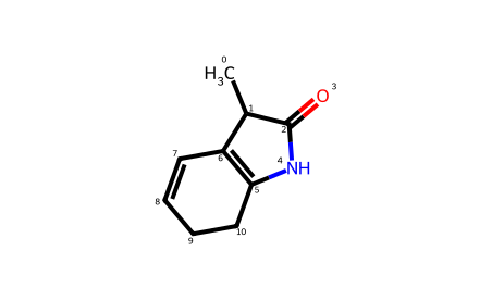 CC1C(=O)NC2=C1C=CCC2